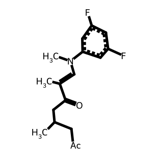 CC(=O)CC(C)CC(=O)/C(C)=C/N(C)c1cc(F)cc(F)c1